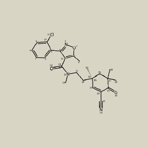 Cc1onc(-c2ccccc2Cl)c1C(=O)N(C)CC[C@]1(C)C=C(C#N)C(=O)C(C)(C)C1